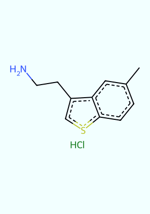 Cc1ccc2scc(CCN)c2c1.Cl